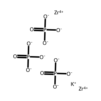 O=P([O-])([O-])[O-].O=P([O-])([O-])[O-].O=P([O-])([O-])[O-].[K+].[Zr+4].[Zr+4]